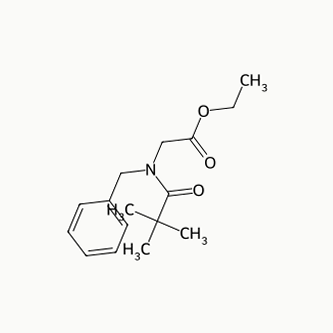 CCOC(=O)CN(Cc1ccccc1)C(=O)C(C)(C)C